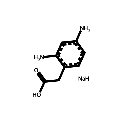 Nc1ccc(CC(=O)O)c(N)c1.[NaH]